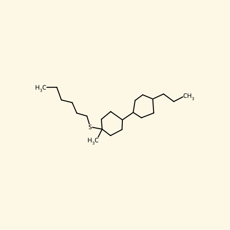 CCCCCCSC1(C)CCC(C2CCC(CCC)CC2)CC1